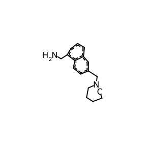 NCc1cccc2cc(CN3CCCCC3)ccc12